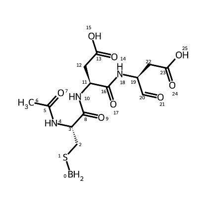 BSC[C@H](NC(C)=O)C(=O)N[C@@H](CC(=O)O)C(=O)N[C@H](C=O)CC(=O)O